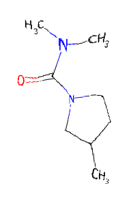 CC1CCN(C(=O)N(C)C)C1